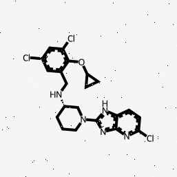 Clc1cc(Cl)c(OC2CC2)c(CN[C@H]2CCCN(c3nc4nc(Cl)ccc4[nH]3)C2)c1